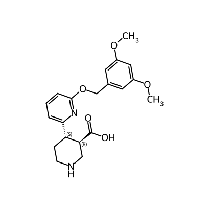 COc1cc(COc2cccc([C@H]3CCNC[C@@H]3C(=O)O)n2)cc(OC)c1